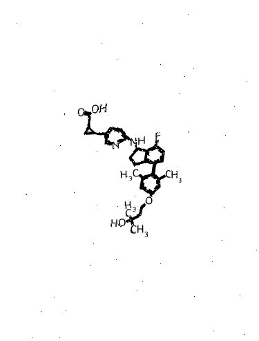 Cc1cc(OCCC(C)(C)O)cc(C)c1-c1ccc(F)c2c1CC[C@H]2Nc1ccc(C2CC2C(=O)O)cn1